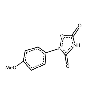 COc1ccc(-n2oc(=O)[nH]c2=O)cc1